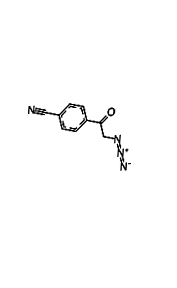 N#Cc1ccc(C(=O)CN=[N+]=[N-])cc1